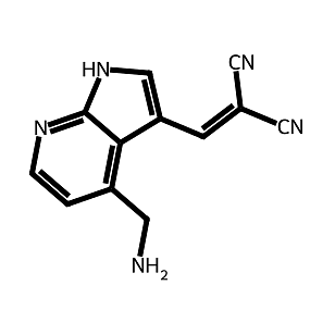 N#CC(C#N)=Cc1c[nH]c2nccc(CN)c12